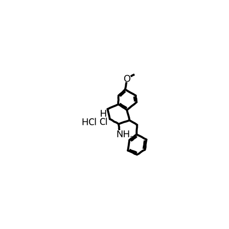 COc1ccc2c(c1)CCC(N)C2Cc1ccccc1.Cl.Cl